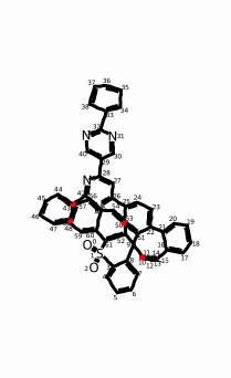 O=S1(=O)c2ccccc2C2(c3ccccc3-c3ccccc3-c3ccc(-c4cc(-c5cnc(-c6ccccc6)nc5)nc(-c5ccccc5)n4)cc32)c2ccc3ccccc3c21